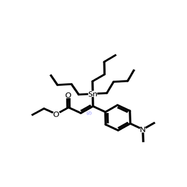 CCC[CH2][Sn]([CH2]CCC)([CH2]CCC)/[C](=C\C(=O)OCC)c1ccc(N(C)C)cc1